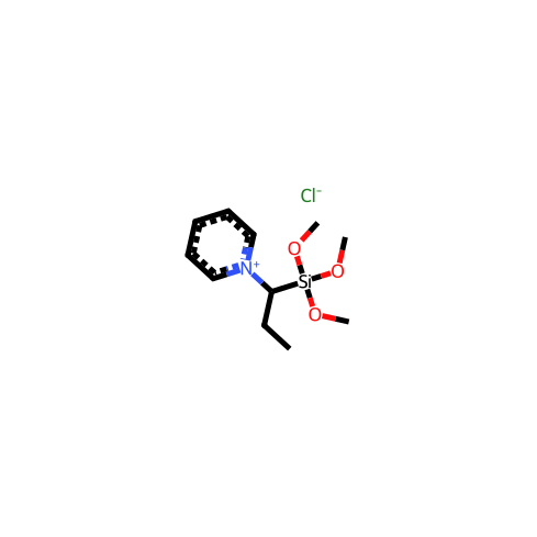 CCC([n+]1ccccc1)[Si](OC)(OC)OC.[Cl-]